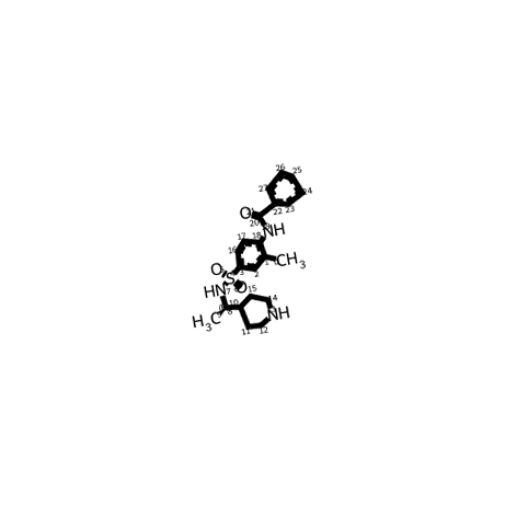 Cc1cc(S(=O)(=O)N[C@H](C)C2CCNCC2)ccc1NC(=O)c1ccccc1